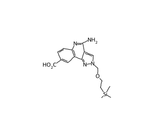 C[Si](C)(C)CCOCn1cc2c(N)nc3ccc(C(=O)O)cc3c2n1